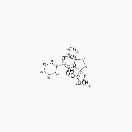 CCC1(C(=O)O)CCCN1C(=O)[C@H](OC(C)=O)C1CCCCC1